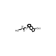 CCCCCCCCC1CCC2Cc3c(cccc3OCC(=O)NCCO)CC12